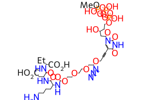 CCC(NC(=O)C(CC(=O)O)NC(=O)C(CCCCN)NC(=O)OCCOCCOCC(N=[N+]=[N-])OCC#Cc1cn(C2CC(O)C(COP(=O)(O)OP(=O)(O)OP(=O)(O)OC)O2)c(=O)[nH]c1=O)C(=O)O